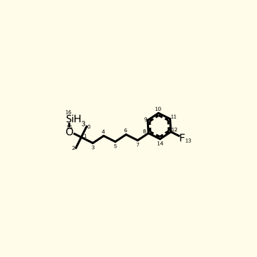 CC(C)(CCCCCc1cccc(F)c1)O[SiH3]